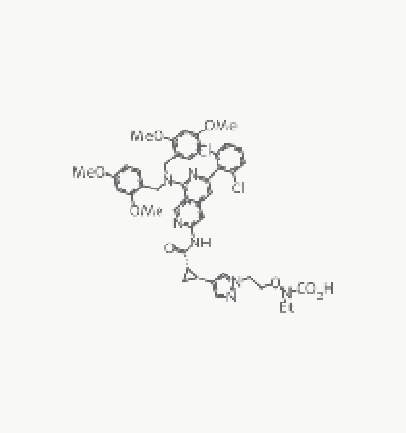 CCN(OCCn1cc([C@H]2C[C@@H]2C(=O)Nc2cc3cc(-c4c(Cl)cccc4Cl)nc(N(Cc4ccc(OC)cc4OC)Cc4ccc(OC)cc4OC)c3cn2)cn1)C(=O)O